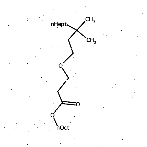 CCCCCCCCOC(=O)CCOCCC(C)(C)CCCCCCC